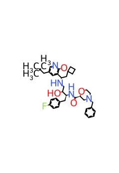 CC(C)(C)Cc1cnc2c(c1)[C@@H](NC[C@H](O)[C@H](Cc1ccc(F)cc1)NC(=O)[C@@H]1CN(Cc3ccccc3)CCO1)CC1(CCC1)O2